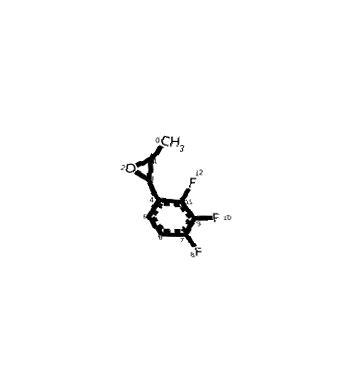 CC1OC1c1ccc(F)c(F)c1F